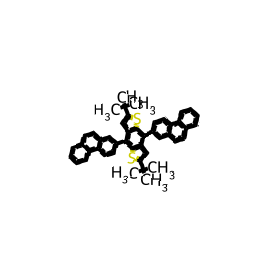 CC(C)(C)c1cc2c(-c3ccc4c(ccc5ccccc54)c3)c3sc(C(C)(C)C)cc3c(-c3ccc4c(ccc5ccccc54)c3)c2s1